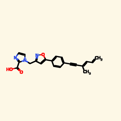 C=C/C=C(\C)C#Cc1ccc(-c2cc(Cn3ccnc3C(=O)O)no2)cc1